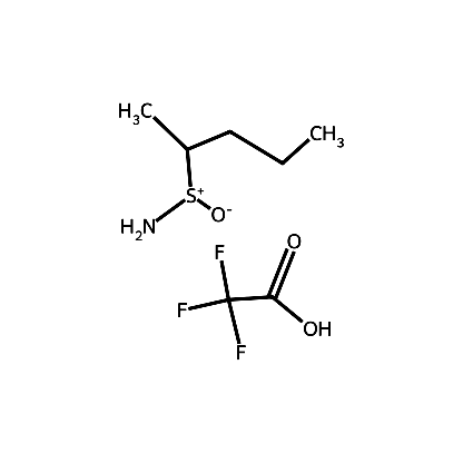 CCCC(C)[S+](N)[O-].O=C(O)C(F)(F)F